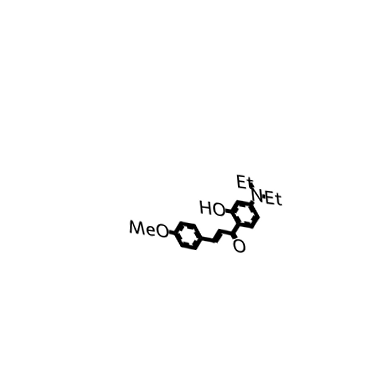 CCN(CC)c1ccc(C(=O)/C=C/c2ccc(OC)cc2)c(O)c1